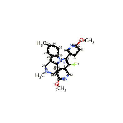 COc1ccc(/C(F)=C(/c2ccc(OC)nc2)n2c3c(c4cc(C)ccc42)CN(C)CC3)cn1